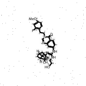 COc1ccc(CCn2cnc3cc(NC(=N[C@H]4C[C@@H]5C[C@H]([C@@H]4C)C5(C)C)NCCO)ccc3c2=O)c(F)c1